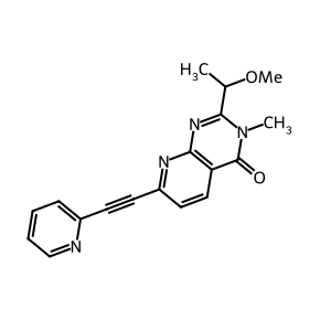 COC(C)c1nc2nc(C#Cc3ccccn3)ccc2c(=O)n1C